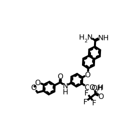 N=C(N)c1ccc2cc(Oc3ccc(NC(=O)c4ccc5c(c4)OOC5)cc3C(=O)O)ccc2c1.O=C(O)C(F)(F)F